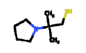 CC(C)(CS)N1CCCC1